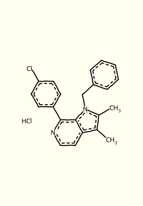 Cc1c(C)n(Cc2ccccc2)c2c(-c3ccc(Cl)cc3)nccc12.Cl